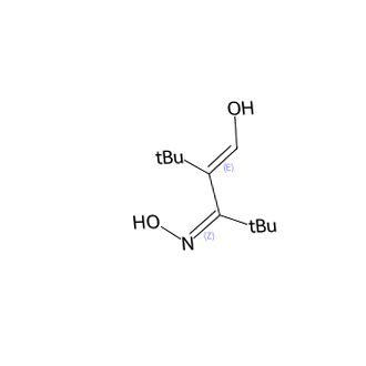 CC(C)(C)C(=N/O)/C(=C/O)C(C)(C)C